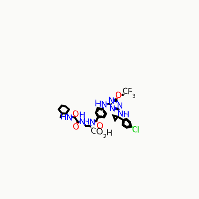 CC1CCCCC1NC(=O)C(=O)NC[C@H](NC(=O)c1ccc(Nc2nc(NC3(c4ccc(Cl)cc4)CC3)nc(OCC(F)(F)F)n2)cc1)C(=O)O